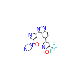 COc1ncc(-c2ccc3ncnc(-c4cncc(C(=O)N5CCN(C)CC5)c4)c3c2)cc1C(F)(F)F